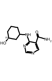 NC(=O)c1cncnc1NC1CCC[C@H](O)C1